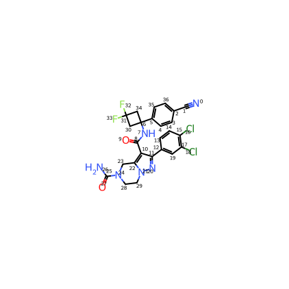 N#Cc1ccc(C2(NC(=O)c3c(-c4ccc(Cl)c(Cl)c4)nn4c3CN(C(N)=O)CC4)CC(F)(F)C2)cc1